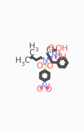 CCC(Cc1ccccc1)(N(O)C(=O)O)N(CCC(C)C)S(=O)(=O)c1ccc([N+](=O)[O-])cc1